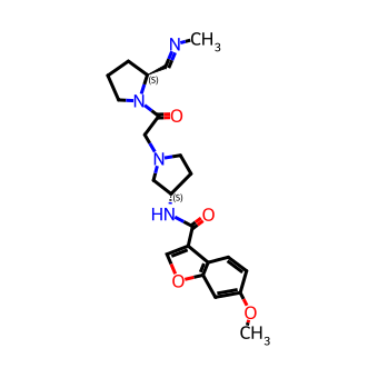 CN=C[C@@H]1CCCN1C(=O)CN1CC[C@H](NC(=O)c2coc3cc(OC)ccc23)C1